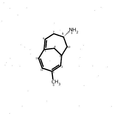 CC1=CC2CC(=CC[C@H](N)C2)C=C1